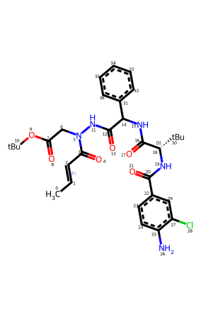 C/C=C/C(=O)N(CC(=O)OC(C)(C)C)NC(=O)C(NC(=O)[C@@H](NC(=O)c1ccc(N)c(Cl)c1)C(C)(C)C)c1ccccc1